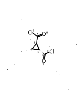 O=C(Cl)[C@@H]1C[C@H]1C(=O)Cl